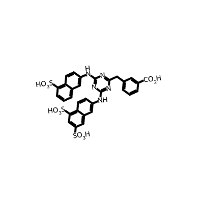 O=C(O)c1cccc(Cc2nc(Nc3ccc4c(S(=O)(=O)O)cccc4c3)nc(Nc3ccc4c(S(=O)(=O)O)cc(S(=O)(=O)O)cc4c3)n2)c1